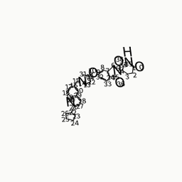 O=C1CCC(N2Cc3cc(O[C@H]4CCN(Cc5ccc6nc(C7CCCC7)ccc6c5)C4)ccc3C2=O)C(=O)N1